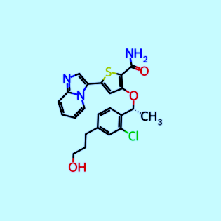 C[C@@H](Oc1cc(-c2cnc3ccccn23)sc1C(N)=O)c1ccc(CCCO)cc1Cl